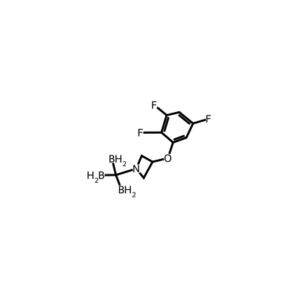 BC(B)(B)N1CC(Oc2cc(F)cc(F)c2F)C1